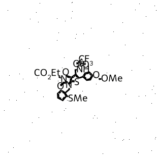 CCOC(=O)Cn1c(=O)c2c(CNS(=O)(=O)C(F)(F)F)c(-c3ccc(OCOC)cc3)sc2n(Cc2ccccc2SC)c1=O